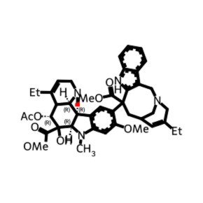 CCC1=CC2CN(C1)Cc1c([nH]c3ccccc13)C(C(=O)OC)(c1cc3c(cc1OC)N(C)[C@H]1C(O)(C(=O)OC)[C@H](OC(C)=O)C4C(CC)=CCN5CC[C@]31[C@@H]45)C2